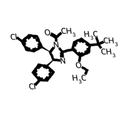 CCOc1cc(C(C)(C)C)ccc1C1=N[C@@H](c2ccc(Cl)cc2)[C@@H](c2ccc(Cl)cc2)N1C(C)=O